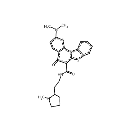 CN(C)c1ccc2c(=O)c(C(=O)NCCC3CCCN3C)c3sc4ccccc4n3c2n1